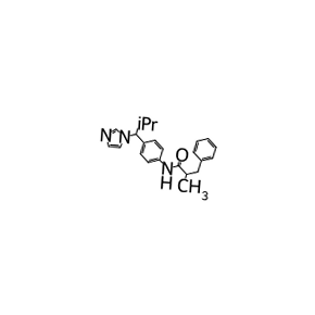 CC(Cc1ccccc1)C(=O)Nc1ccc(C(C(C)C)n2ccnc2)cc1